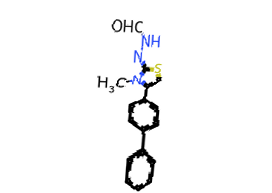 Cn1c(-c2ccc(-c3ccccc3)cc2)csc1=NNC=O